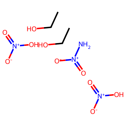 CCO.CCO.N[N+](=O)[O-].O=[N+]([O-])O.O=[N+]([O-])O